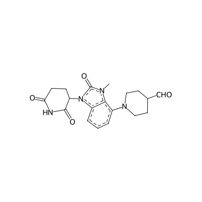 Cn1c(=O)n(C2CCC(=O)NC2=O)c2cccc(N3CCC(C=O)CC3)c21